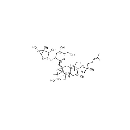 CC(C)=CCC[C@](C)(O)[C@H]1CC[C@]2(C)[C@@H]1[C@H](O)C[C@@H]1[C@@]3(C)CC[C@H](O)C(C)(C)[C@@H]3[C@@H](O[C@@H]3OC(CO)[C@@H](O)CC3O[C@@H]3OC4[C@H](O)C4(O)C3O)C[C@]12C